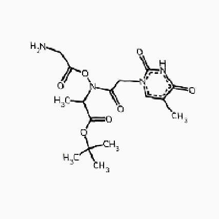 Cc1cn(CC(=O)N(OC(=O)CN)C(C)C(=O)OC(C)(C)C)c(=O)[nH]c1=O